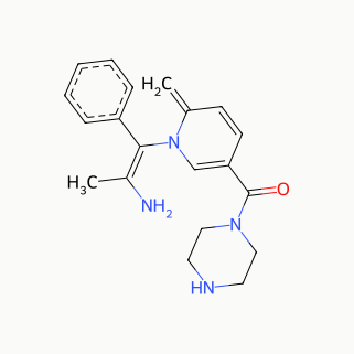 C=C1C=CC(C(=O)N2CCNCC2)=CN1/C(=C(/C)N)c1ccccc1